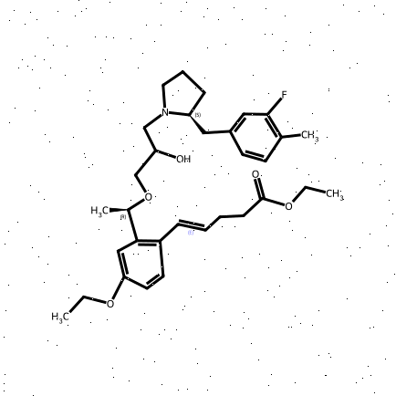 CCOC(=O)CC/C=C/c1ccc(OCC)cc1[C@@H](C)OCC(O)CN1CCC[C@H]1Cc1ccc(C)c(F)c1